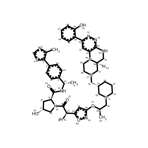 Cc1ncsc1-c1ccc([C@H](C)NC(=O)[C@@H]2C[C@@H](O)CN2C(=O)[C@@H](c2cc(O[C@H](C)CN3CCC[C@@H](CN4CCN5c6cc(-c7ccccc7O)nnc6NC[C@H]5C4)C3)no2)C(C)C)cc1